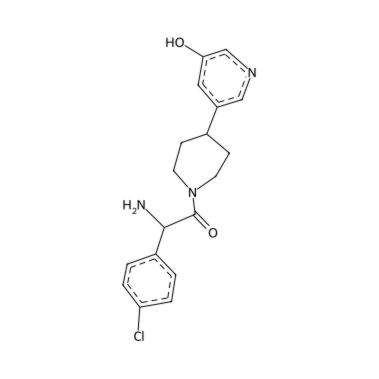 NC(C(=O)N1CCC(c2cncc(O)c2)CC1)c1ccc(Cl)cc1